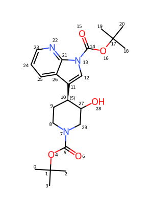 CC(C)(C)OC(=O)N1CC[C@@H](c2cn(C(=O)OC(C)(C)C)c3ncccc23)C(O)C1